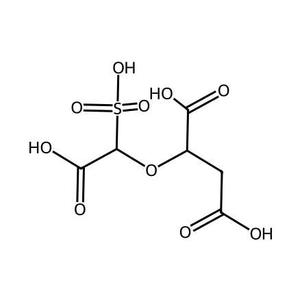 O=C(O)CC(OC(C(=O)O)S(=O)(=O)O)C(=O)O